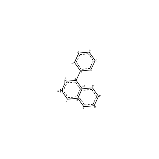 [c]1ccc(-c2nncc3ccccc23)cc1